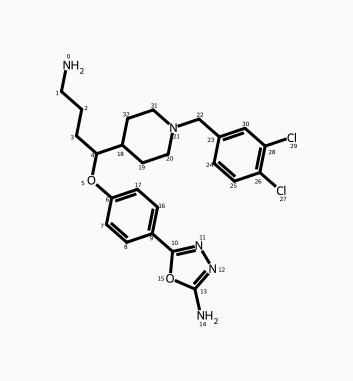 NCCCC(Oc1ccc(-c2nnc(N)o2)cc1)C1CCN(Cc2ccc(Cl)c(Cl)c2)CC1